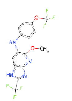 COc1nc2nc(C(F)(F)F)[nH]c2cc1Nc1ccc(OC(F)(F)F)cc1